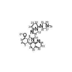 COc1ccccc1CN(CC1CN2C(N3CCN(C)CC3)=CC=CC2=N1)[C@H]1CCCc2cccnc21